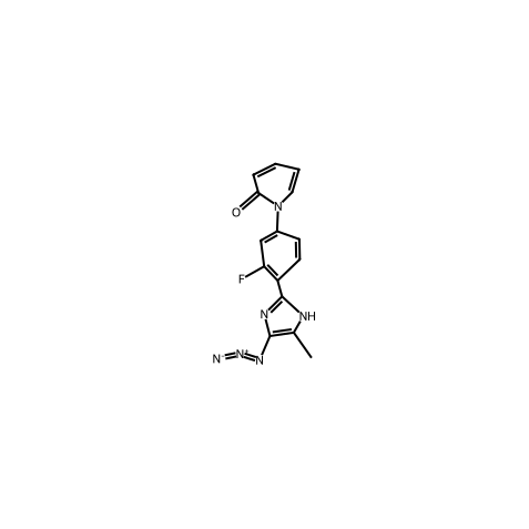 Cc1[nH]c(-c2ccc(-n3ccccc3=O)cc2F)nc1N=[N+]=[N-]